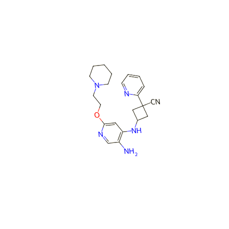 N#CC1(c2ccccn2)CC(Nc2cc(OCCN3CCCCC3)ncc2N)C1